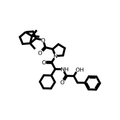 CC1(C)C2CCC1(C)C(OC(=O)C1CCCN1C(=O)C(NC(=O)C(O)Cc1ccccc1)C1CCCCC1)C2